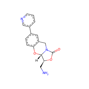 NC[C@@H]1OC(=O)N2Cc3cc(-c4cccnc4)ccc3O[C@@H]12